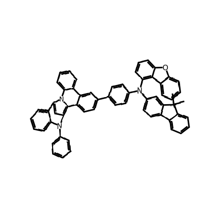 CC1(C)c2ccccc2-c2ccc(N(c3ccc(-c4ccc5c(c4)c4ccccc4n4c6cc(c54)N(c4ccccc4)c4ccccc4-6)cc3)c3cccc4oc5ccccc5c34)cc21